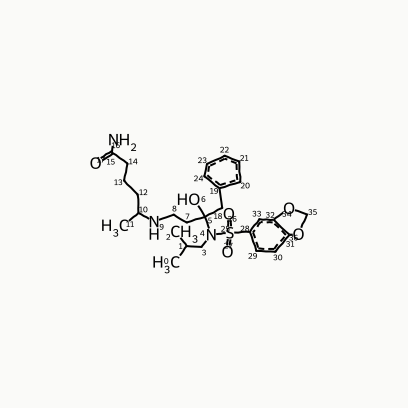 CC(C)CN(C(O)(CCNC(C)CCCC(N)=O)Cc1ccccc1)S(=O)(=O)c1ccc2c(c1)OCO2